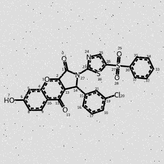 O=C1c2oc3cc(O)ccc3c(=O)c2C(c2cccc(Cl)c2)N1c1ncc(S(=O)(=O)c2ccccc2)s1